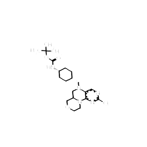 CC(C)(C)OC(=O)N[C@H]1CC[C@H](CN2CC3COCCN3c3nc(Cl)ncc32)CC1